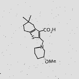 CO[C@@H]1CCCN(Cc2sc3c(c2C(=O)O)CC(C)(C)CC3)C1